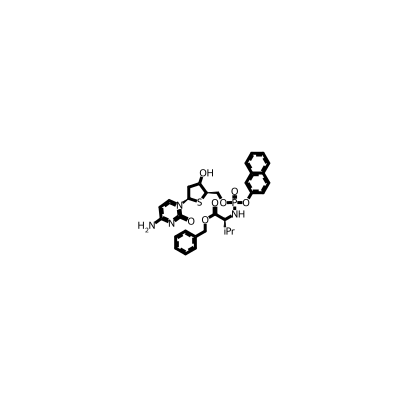 CC(C)[C@H](NP(=O)(OC[C@H]1S[C@@H](n2ccc(N)nc2=O)CC1O)Oc1ccc2ccccc2c1)C(=O)OCc1ccccc1